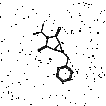 CC(C)N1C(=O)C2C(C1=O)N2Cc1ccccc1